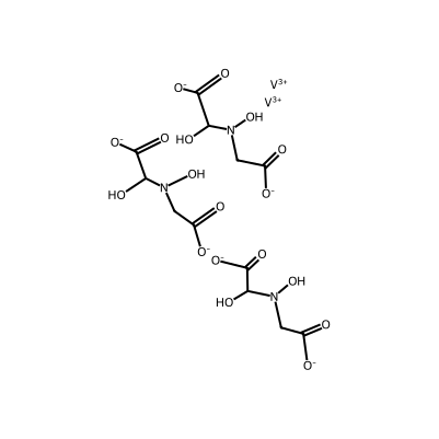 O=C([O-])CN(O)C(O)C(=O)[O-].O=C([O-])CN(O)C(O)C(=O)[O-].O=C([O-])CN(O)C(O)C(=O)[O-].[V+3].[V+3]